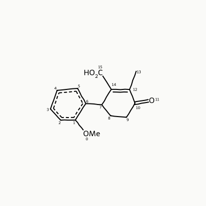 COc1ccccc1C1CCC(=O)C(C)=C1C(=O)O